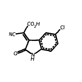 N#CC(C(=O)O)=C1C(=O)Nc2ccc(Cl)cc21